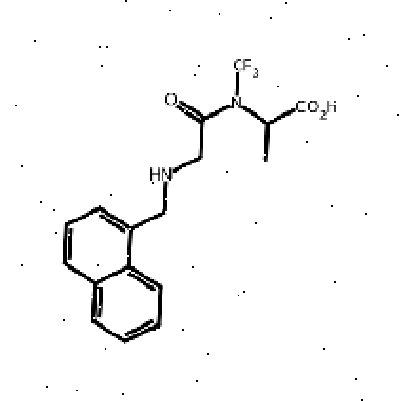 CC(C(=O)O)N(C(=O)CNCc1cccc2ccccc12)C(F)(F)F